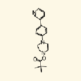 CC(C)(C)C(=O)ON1CCN(c2ccc(-c3cccnc3)cc2)CC1